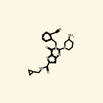 N#Cc1ccccc1Cn1c(N2CCCC(N)C2)nc2cc(C(=O)NCC3CC3)sc2c1=O